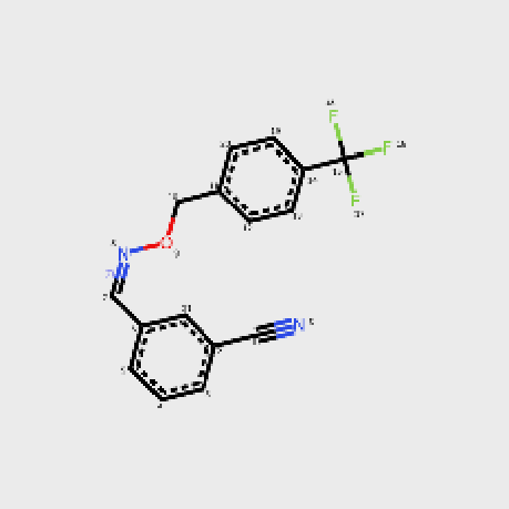 N#Cc1cccc(/[C]=N\OCc2ccc(C(F)(F)F)cc2)c1